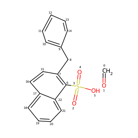 C=O.O=S(=O)(O)c1c(Cc2ccccc2)ccc2ccccc12